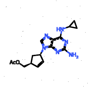 CC(=O)OC[C@@H]1C=C[C@H](n2cnc3c(NC4CC4)nc(N)nc32)C1